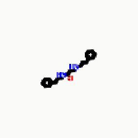 O=C(CCNCCCc1ccccc1)NCCCc1ccccc1